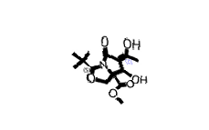 COC(=O)[C@@]12CO[C@@H](C(C)(C)C)N1C(=O)/C(=C(/C)O)C2O